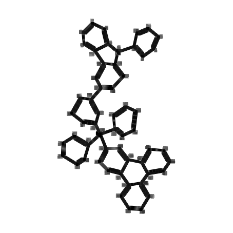 c1ccc(-n2c3ccccc3c3cc(-c4cccc([Si](c5ccccc5)(c5ccccc5)c5ccc6c7ccccc7c7ccccc7c6c5)c4)ccc32)cc1